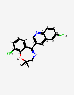 CC1(C)CN=C(c2cnc3ccc(Cl)cc3c2)c2cccc(Cl)c2O1